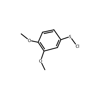 COc1ccc(SCl)cc1OC